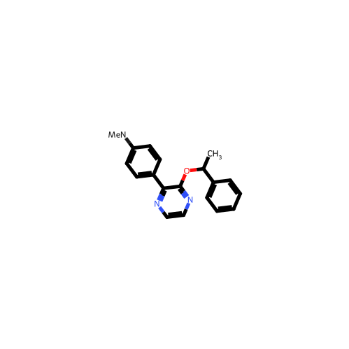 CNc1ccc(-c2nccnc2OC(C)c2ccccc2)cc1